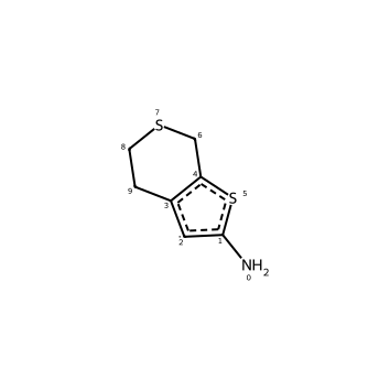 Nc1[c]c2c(s1)CSCC2